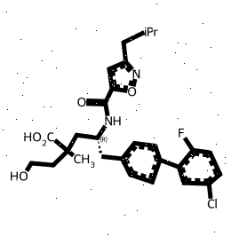 CC(C)Cc1cc(C(=O)N[C@H](Cc2ccc(-c3cc(Cl)ccc3F)cc2)CC(C)(CCO)C(=O)O)on1